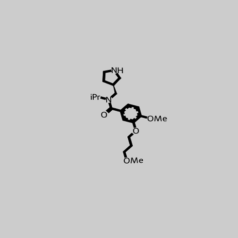 COCCCOc1cc(C(=O)N(C[C@H]2CCNC2)C(C)C)ccc1OC